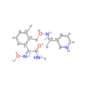 CNC(=O)/C(=N/OC)c1cccc(C)c1CO/N=C(\C)c1cccnc1